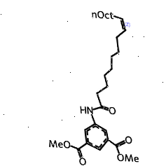 CCCCCCCC/C=C\CCCCCCCC(=O)Nc1cc(C(=O)OC)cc(C(=O)OC)c1